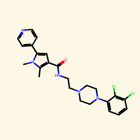 Cc1c(C(=O)NCCN2CCN(c3cccc(Cl)c3Cl)CC2)cc(-c2ccncc2)n1C